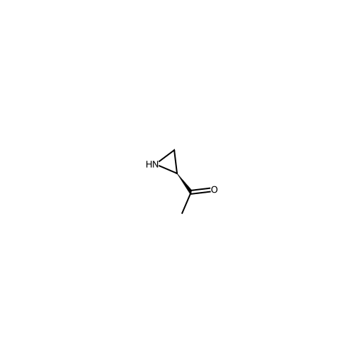 CC(=O)[C@@H]1CN1